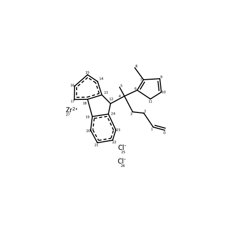 C=CCCC(C)(C1=C(C)C=CC1)C1c2ccccc2-c2ccccc21.[Cl-].[Cl-].[Zr+2]